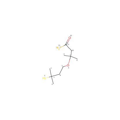 CC(C)(S)CCOC(C)(C)CC(=O)P